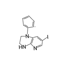 Ic1cnc2c(c1)N(c1[c]cccc1)CCN2